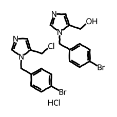 Cl.ClCc1cncn1Cc1ccc(Br)cc1.OCc1cncn1Cc1ccc(Br)cc1